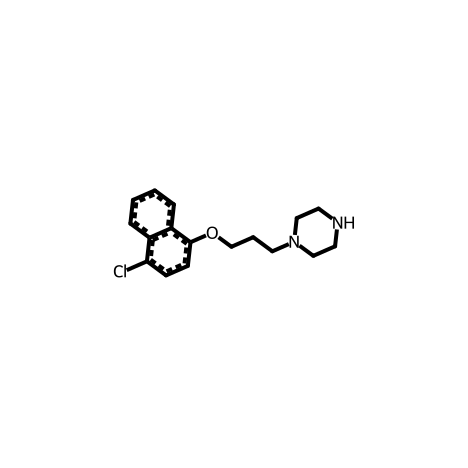 Clc1ccc(OCCCN2CCNCC2)c2ccccc12